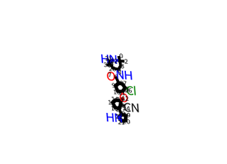 CC1(C)CC(NC(=O)c2ccc(Oc3cccc(-c4ccc[nH]4)c3C#N)c(Cl)c2)CC(C)(C)N1